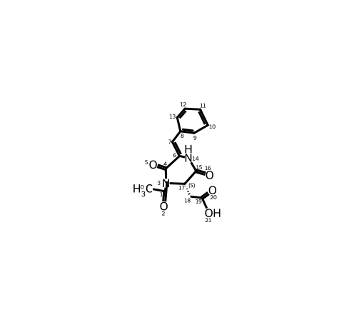 CC(=O)N1C(=O)C(=Cc2ccccc2)NC(=O)[C@@H]1CC(=O)O